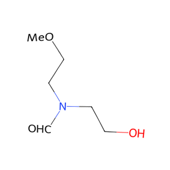 COCCN(C=O)CCO